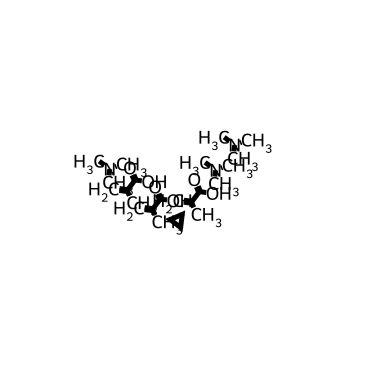 C1CC1.C=C(C)C(=O)O.C=C(C)C(=O)O.C=C(C)C(=O)O.CN(C)C.CN(C)C.CN(C)C